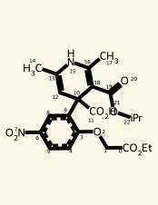 CCOC(=O)COc1ccc([N+](=O)[O-])cc1C1(C(=O)O)C=C(C)NC(C)=C1C(=O)OC(C)C